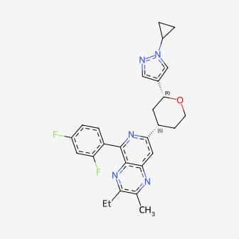 CCc1nc2c(-c3ccc(F)cc3F)nc([C@H]3CCO[C@@H](c4cnn(C5CC5)c4)C3)cc2nc1C